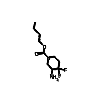 CCCCOC(=O)N1CCC(F)(F)C(N)C1